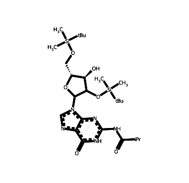 CC(C)C(=O)Nc1nc2c(ncn2C2O[C@H](CO[Si](C)(C)C(C)(C)C)[C@@H](O)C2O[Si](C)(C)C(C)(C)C)c(=O)[nH]1